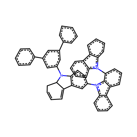 C1=CCC2C(=C1)c1cc(-n3c4ccccc4c4cccc(-n5c6ccccc6c6ccccc65)c43)ccc1N2c1cc(-c2ccccc2)cc(-c2ccccc2)c1